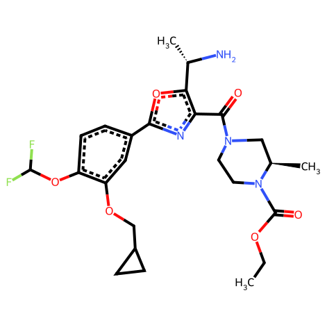 CCOC(=O)N1CCN(C(=O)c2nc(-c3ccc(OC(F)F)c(OCC4CC4)c3)oc2[C@H](C)N)C[C@H]1C